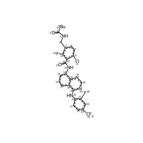 CC(C)(C)C(=O)NCc1ccc(Cl)c(C(=O)Nc2cccc3c(Nc4ccc(C(F)(F)F)cc4F)ncnc23)c1F